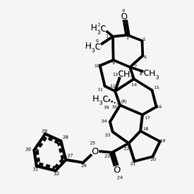 CC1(C)C(=O)CCC2(C)C1CCC1(C)C2CCC2C3CCCC3(C(=O)OCc3ccccc3)CC[C@]21C